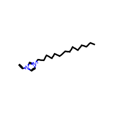 C=Cn1cc[n+](CCCCCCCCCCCCCC)c1